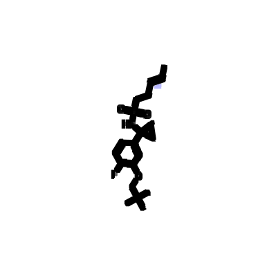 C/C=C/CCS(=O)(=O)NC1(c2ccc(F)c(OCC(C)(C)C)c2)CC1